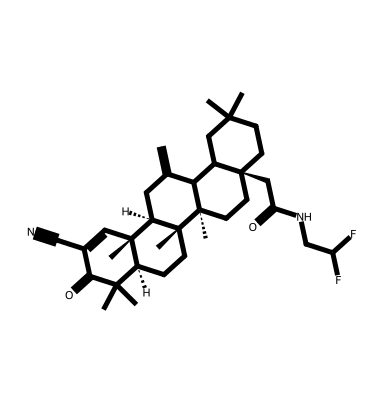 C=C1C[C@@H]2[C@@]3(C)C=C(C#N)C(=O)C(C)(C)[C@@H]3CC[C@@]2(C)[C@]2(C)CC[C@@]3(CC(=O)NCC(F)F)CCC(C)(C)CC3C12